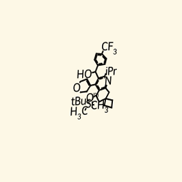 CC(C)c1nc2c(c(C3=CCOCC3)c1C(O)c1ccc(C(F)(F)F)cc1)[C@H](O[Si](C)(C)C(C)(C)C)CC1(CCC1)C2